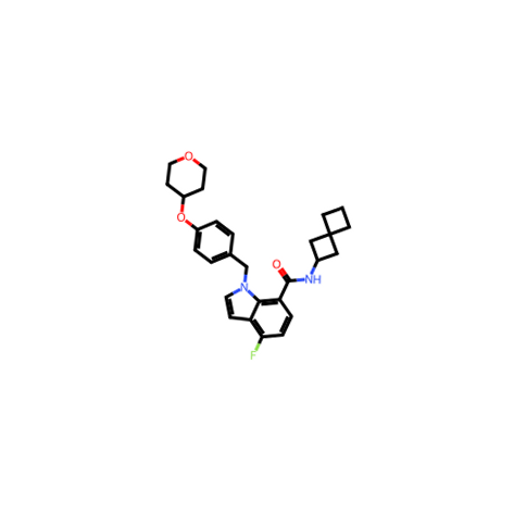 O=C(NC1CC2(CCC2)C1)c1ccc(F)c2ccn(Cc3ccc(OC4CCOCC4)cc3)c12